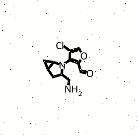 NCC1CC2CC2N1c1c(Cl)coc1C=O